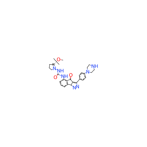 COC(C)(C)[C@H]1CCCN1NC(=O)Nc1cccc2c1C(=O)C1=C(c3ccc(N4CCNCC4)cc3)N=NC12